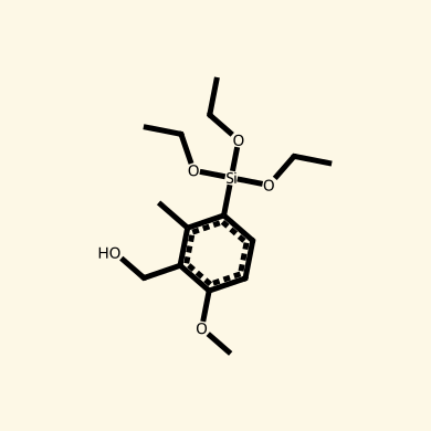 CCO[Si](OCC)(OCC)c1ccc(OC)c(CO)c1C